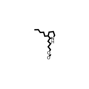 CCCCCC1CCCNC1CCCCOC=O